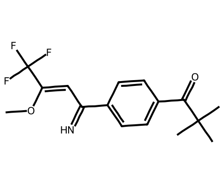 CO/C(=C\C(=N)c1ccc(C(=O)C(C)(C)C)cc1)C(F)(F)F